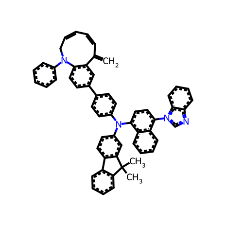 C=C1/C=C\C=C/CN(c2ccccc2)c2ccc(-c3ccc(N(c4ccc5c(c4)C(C)(C)c4ccccc4-5)c4ccc(-n5cnc6ccccc65)c5ccccc45)cc3)cc21